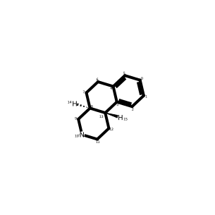 c1ccc2c(c1)CC[C@@H]1C[N]CC[C@@H]21